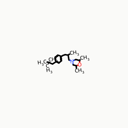 CC(Cc1ccc(CC(C)(C)C)cc1)CN1CC(C)OC(C)C1